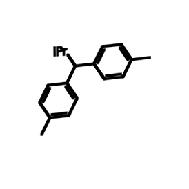 Cc1ccc(C(c2ccc(C)cc2)C(C)C)cc1